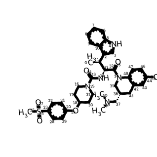 C[C@@H](c1c[nH]c2ccccc12)[C@@H](NC(=O)N1CCC(Oc2ccc(S(C)(=O)=O)cc2)CC1)C(=O)N1C[C@@H](CN(C)C)Cc2cc(Cl)ccc21